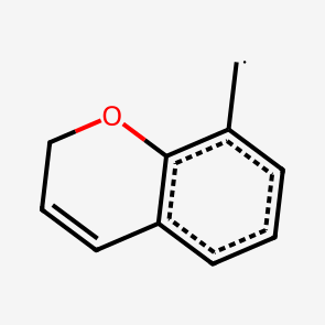 [CH2]c1cccc2c1OCC=C2